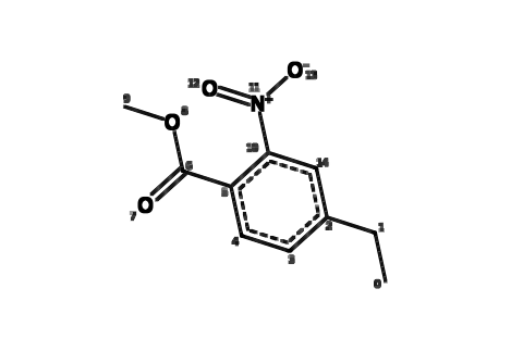 CCc1ccc(C(=O)OC)c([N+](=O)[O-])c1